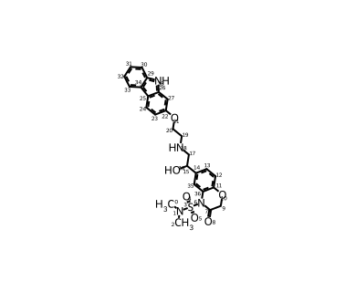 CN(C)S(=O)(=O)N1C(=O)COc2ccc(C(O)CNCCOc3ccc4c(c3)[nH]c3ccccc34)cc21